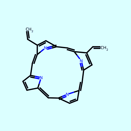 C=CC1=CC2=NC1=CC1=NC(=CC3=NC(=CC4=NC(=C2)C=C4)C=C3)C(C=C)=C1